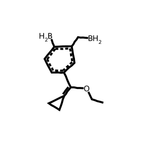 BCc1cc(C(OCC)=C2CC2)ccc1B